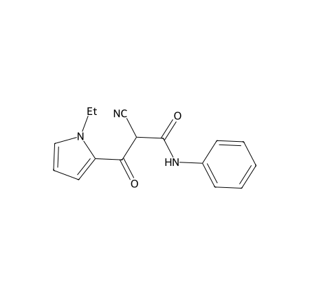 CCn1cccc1C(=O)C(C#N)C(=O)Nc1ccccc1